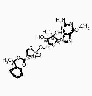 COc1nc(N)nc2c1ncn2[C@@H]1O[C@H](CO[P@@]2(=O)N[C@H](C(=O)O[C@H](C)c3ccccc3)CS2)[C@@H](O)[C@@]1(C)O